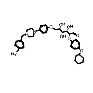 Cc1ccc(CN2CCN(c3ccc(OC[C@@H](O)[C@@H](O)[C@H](O)[C@H](C=O)Oc4ccc(OC5CCCCC5)cc4)cc3)CC2)cc1